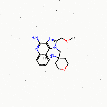 CCOCc1nc2c(N)nc3ccccc3c2n1CC1(NC(=O)O)CCOCC1